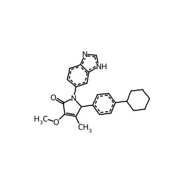 COC1=C(C)C(c2ccc(C3CCCCC3)cc2)N(c2ccc3nc[nH]c3c2)C1=O